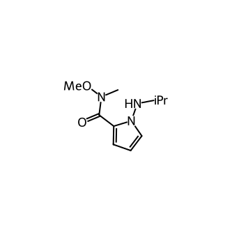 CON(C)C(=O)c1cccn1NC(C)C